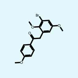 COc1ccc(C(=O)Cc2cc(OC)cc(Br)c2OC)cc1